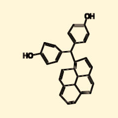 Oc1ccc(C(C2=C3C=CC4=CC=CC5=CC=C(C=C2)C3C45)c2ccc(O)cc2)cc1